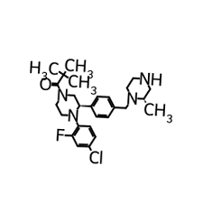 C[C@H]1CNCCN1Cc1ccc([C@@H]2CN(C(=O)C(C)(C)C)CCN2c2ccc(Cl)cc2F)cc1